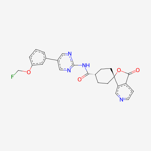 O=C1O[C@]2(CC[C@@H](C(=O)Nc3ncc(-c4cccc(OCF)c4)cn3)CC2)c2cnccc21